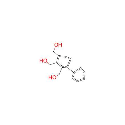 OCc1ccc(-c2ccccc2)c(CO)c1CO